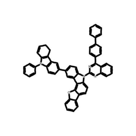 C1=Cc2c(c3cc(-c4ccc5c(c4)c4c6oc7ccccc7c6ccc4n5-c4nc(-c5ccc(-c6ccccc6)cc5)c5ccccc5n4)ccc3n2-c2ccccc2)CC1